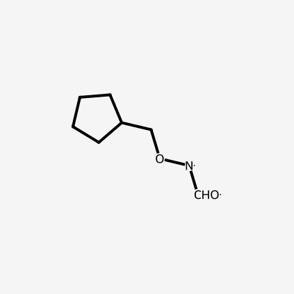 O=[C][N]OCC1CCCC1